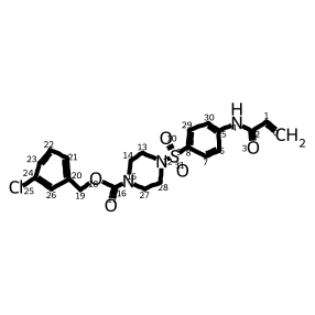 C=CC(=O)Nc1ccc(S(=O)(=O)N2CCN(C(=O)OCc3cccc(Cl)c3)CC2)cc1